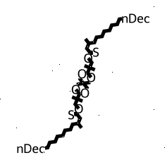 CCCCCCCCCCCCCCCCCCC(C)CC(=S)OCC(C)(C)C1OCC2(CO1)COC(C(C)(C)COC(=S)CC(C)CCCCCCCCCCCCCCCCCC)OC2